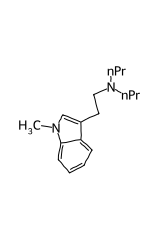 CCCN(CCC)CCc1cn(C)c2ccccc12